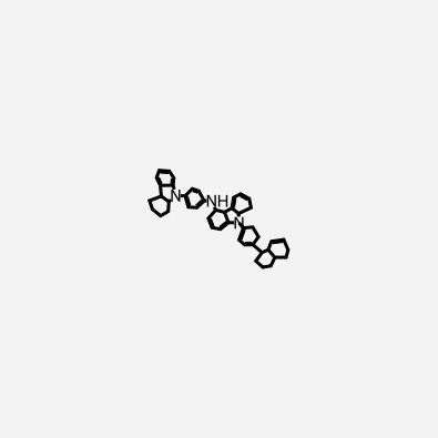 C1=CCC2C(=C1)C1C(=CC=CC1Nc1ccc(N3c4ccccc4C4CCCCC43)cc1)N2C1=CC=C(C2CCCC3CCC=CC32)CC1